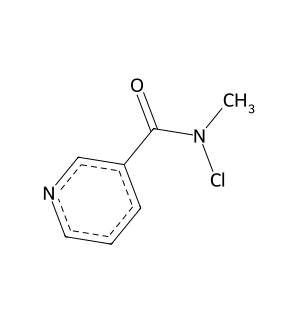 CN(Cl)C(=O)c1cccnc1